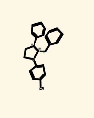 N#Cc1ccc(N2CC[C@@H](c3ccccc3)[C@@H]2Cc2ccccc2)cc1